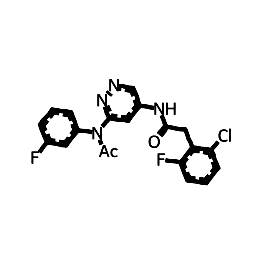 CC(=O)N(c1cccc(F)c1)c1cc(NC(=O)Cc2c(F)cccc2Cl)cnn1